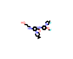 CC1(F)CCN(c2cc(NC(=O)c3ccc(NCCCCO)cc3N3CCC4(CC3)CC4)ccc2OCF)C1